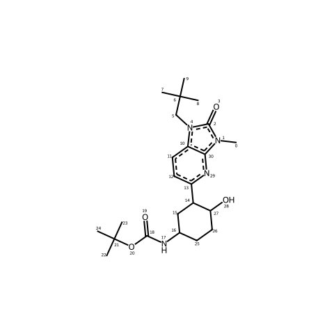 Cn1c(=O)n(CC(C)(C)C)c2ccc(C3CC(NC(=O)OC(C)(C)C)CCC3O)nc21